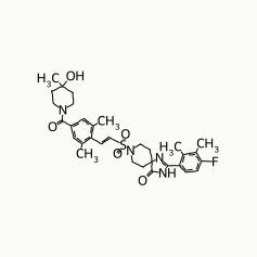 Cc1cc(C(=O)N2CCC(C)(O)CC2)cc(C)c1/C=C/S(=O)(=O)N1CCC2(CC1)N=C(c1ccc(F)c(C)c1C)NC2=O